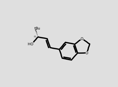 CC(C)(C)[C@@H](O)C=Cc1ccc2c(c1)OCO2